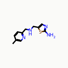 Cc1ccc(CNCc2cnc(N)s2)nc1